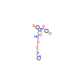 COc1ccc2c(c1)c(CC(=O)NCCOCCOCC/N=C/c1ccccn1)c(C)n2C(=O)c1ccc(Cl)cc1